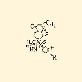 CCC1=CC(=O)C2CC/C=C(N3C(=S)N(c4ccc(C#N)c(F)c4)C(=N)C3(C)C)\C=C(\F)C2=N1